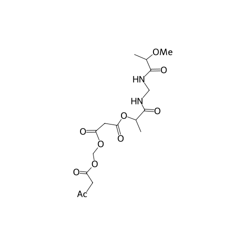 COC(C)C(=O)NCNC(=O)C(C)OC(=O)CC(=O)OCOC(=O)CC(C)=O